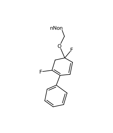 CCCCCCCCCCOC1(F)C=CC(c2ccccc2)=C(F)C1